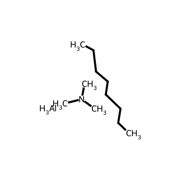 CCCCCCCC.CN(C)C.[AlH3]